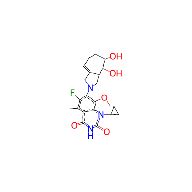 COc1c(N2CC3=CCCC(O)C(O)C3C2)c(F)c(C)c2c(=O)[nH]c(=O)n(C3CC3)c12